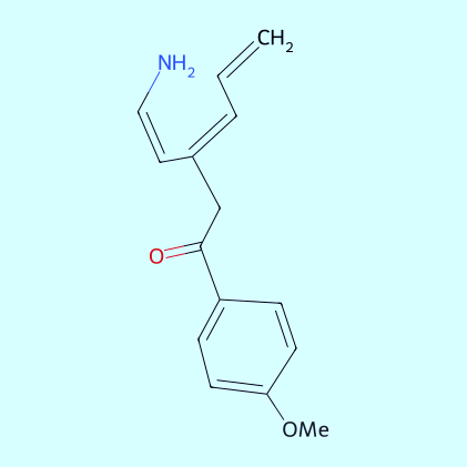 C=C/C=C(\C=C/N)CC(=O)c1ccc(OC)cc1